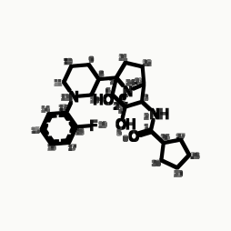 O=C(NC1C(O)CC2(C3CCCN(c4ccccc4F)C3)CCC1N2C(=O)O)C1CCCC1